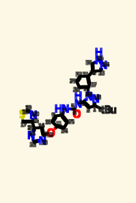 CC(C)(C)c1cc(NC(=O)Nc2ccc(Oc3cc(-c4cscn4)ncn3)cc2)n(-c2cccc(-c3cn[nH]c3)c2)n1